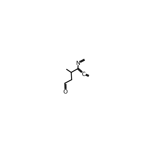 C=C=C(N=C)C(C)CC=O